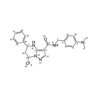 CN(C)c1ccc(CNC(=O)c2cnn3c2NC(c2ccccc2)CC3C(F)(F)F)cc1